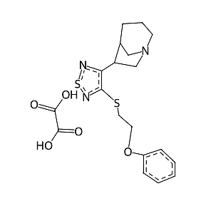 O=C(O)C(=O)O.c1ccc(OCCSc2nsnc2C2CN3CCCC2C3)cc1